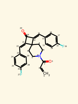 C=CC(=O)N1CCC2(CC1)/C(=C\c1ccc(F)cc1)C(=O)/C2=C/c1ccc(F)cc1